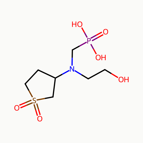 O=P(O)(O)CN(CCO)C1CCS(=O)(=O)C1